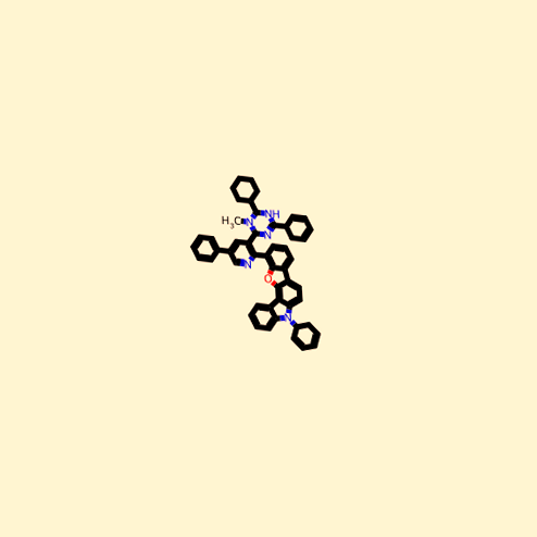 CN1C(c2cc(-c3ccccc3)cnc2-c2cccc3c2oc2c3ccc3c2c2ccccc2n3C2C=CC=CC2)N=C(C2C=CC=CC2)NC1C1CCCCC1